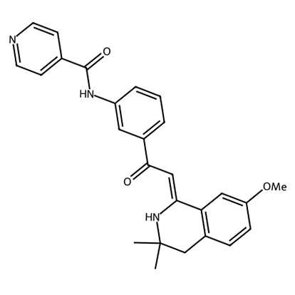 COc1ccc2c(c1)/C(=C/C(=O)c1cccc(NC(=O)c3ccncc3)c1)NC(C)(C)C2